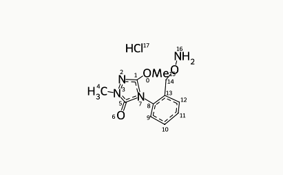 COc1nn(C)c(=O)n1-c1ccccc1CON.Cl